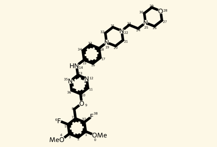 COc1cc(OC)c(F)c(COc2cnc(Nc3ccc(N4CCN(CCN5CCOCC5)CC4)cc3)nc2)c1F